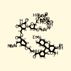 CC/N=c1/cc2oc3cc(NCC)c(C)cc3c(-c3cc(C(=O)NCCOc4ccc(C(=O)OCc5cn([C@H]6CC(OCN=[N+]=[N-])[C@@H](COP(=O)(O)OP(=O)(O)OP(=O)(O)O)O6)c(=O)[nH]c5=O)c(CN=[N+]=[N-])c4)ccc3C(=O)O)c-2cc1C